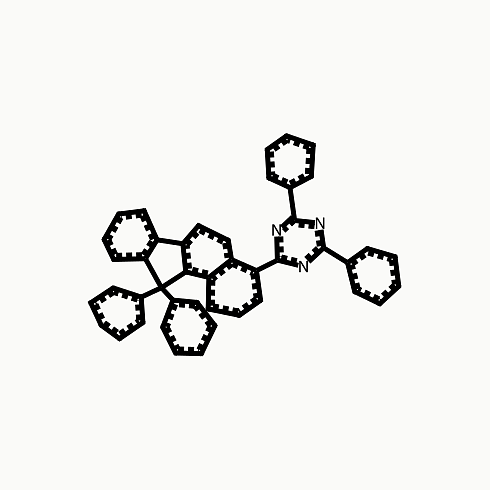 c1ccc(-c2nc(-c3ccccc3)nc(-c3cccc4c5c(ccc34)-c3ccccc3C5(c3ccccc3)c3ccccc3)n2)cc1